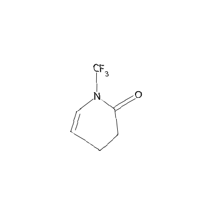 O=C1CCC=CN1C(F)(F)F